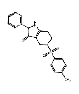 Cc1ccc(S(=O)(=O)N2CCc3[nH]n(-c4ccccc4)c(=O)c3C2)cc1